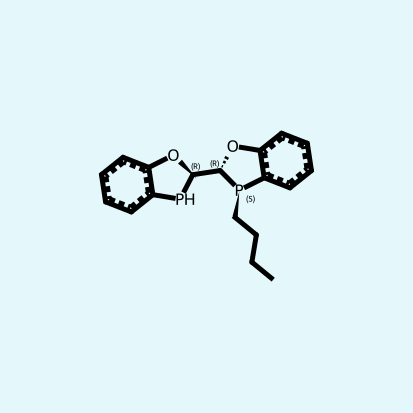 CCCC[P@]1c2ccccc2O[C@H]1[C@@H]1Oc2ccccc2P1